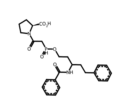 O=C(NC(CCO[PH](=O)CC(=O)N1CCC[C@H]1C(=O)O)CCc1ccccc1)c1ccccc1